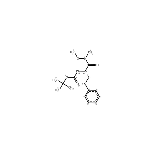 CON(C)C(=O)[C@H](CSc1ccccc1)NC(=O)OC(C)(C)C